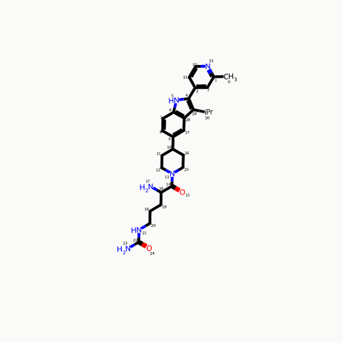 Cc1cc(-c2[nH]c3ccc(C4CCN(C(=O)C(N)CCCNC(N)=O)CC4)cc3c2C(C)C)ccn1